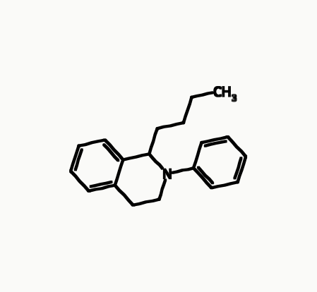 CCCCC1c2ccccc2CCN1c1ccccc1